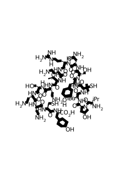 CC[C@H](C)[C@H](NC(=O)[C@@H]1C[C@@H](O)CN1C(=O)[C@@H](N)C(C)C)C(=O)N[C@H](C(=O)N[C@@H](Cc1ccc(O)cc1)C(=O)N[C@@H](CO)C(=O)N[C@@H](CC(N)=O)C(=O)N[C@@H](CCCNC(=N)N)C(=O)N[C@H](CCN)C(=O)N[C@H](C(=O)N[C@H](CCN)C(=O)N[C@@H](CO)C(=O)N[C@@H](CCN)C(=O)N[C@@H](CCN)C(=O)N[C@@H](CS)C(=O)N[C@@H](Cc1ccc(O)cc1)C(=O)O)[C@@H](C)O)C(C)(C)S